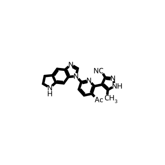 CC(=O)c1ccc(-n2cnc3cc4c(cc32)NCC4)nc1-c1c(C#N)n[nH]c1C